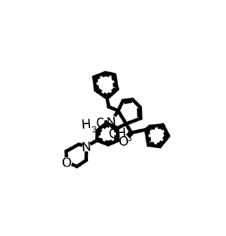 CN(C)C1(Cc2ccccc2)C=CC=CC1(C(=O)c1ccccc1)c1ccc(N2CCOCC2)cc1